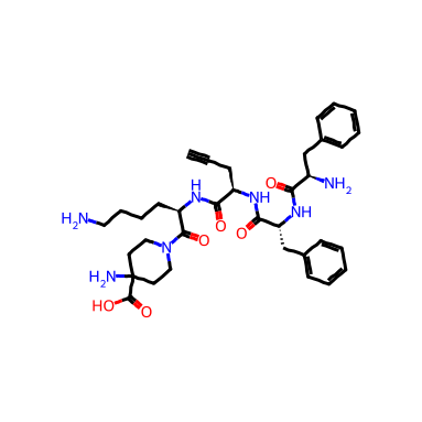 C#CC[C@@H](NC(=O)[C@@H](Cc1ccccc1)NC(=O)[C@H](N)Cc1ccccc1)C(=O)N[C@H](CCCCN)C(=O)N1CCC(N)(C(=O)O)CC1